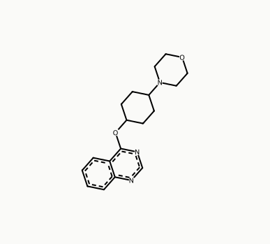 c1ccc2c(OC3CCC(N4CCOCC4)CC3)ncnc2c1